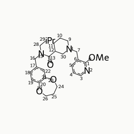 COc1ncccc1CN1CCCC(C(=O)N(Cc2ccc3c(c2)OCCCO3)CC(C)C)C1